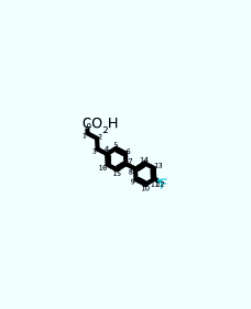 O=C(O)CCCc1ccc(-c2ccc(F)cc2)cc1